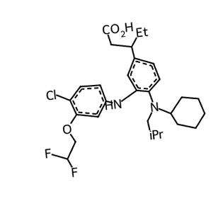 CCC(CC(=O)O)c1ccc(N(CC(C)C)C2CCCCC2)c(Nc2ccc(Cl)c(OCC(F)F)c2)c1